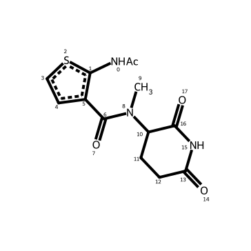 CC(=O)Nc1sccc1C(=O)N(C)C1CCC(=O)NC1=O